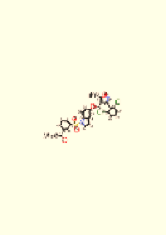 COC(=O)c1cccc(S(=O)(=O)n2ccc3cc(OCc4c(-c5c(Cl)cccc5Cl)noc4C(C)C)ccc32)c1